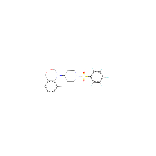 Cc1cccc2c1N(C1CCN(S(=O)(=O)c3c(F)c(F)c(F)c(F)c3F)CC1)COC2